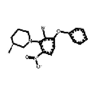 [CH2][C@H]1CCCN(c2c([N+](=O)[O-])ccc(Oc3ccccc3)c2Br)C1